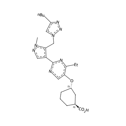 CCCCc1cn(Cc2c(-c3ncc(O[C@H]4CCC[C@H](C(=O)O)C4)c(CC)n3)cnn2C)nn1